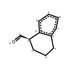 O=C[C@@H]1CCCc2ccccc21